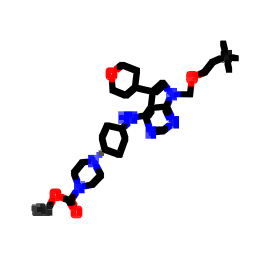 CC(C)(C)OC(=O)N1CCN([C@H]2CC[C@H](Nc3ncnc4c3c(C3CCOCC3)cn4COCC[Si](C)(C)C)CC2)CC1